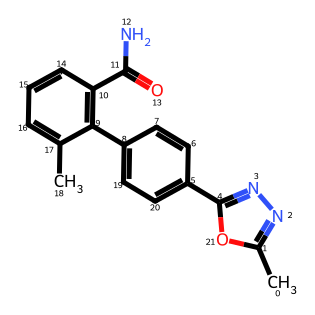 Cc1nnc(-c2ccc(-c3c(C(N)=O)[c]ccc3C)cc2)o1